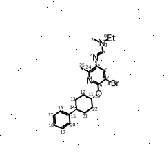 CCN(C)/C=N/c1cc(Br)c(O[C@H]2CC[C@H](c3ccccc3)CC2)nc1C